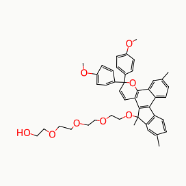 COc1ccc(C2(c3ccc(OC)cc3)C=Cc3c4c(c5ccc(C)cc5c3O2)-c2ccc(C)cc2C4(C)OCCOCCOCCOCCO)cc1